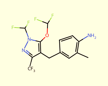 Cc1cc(Cc2c(C(F)(F)F)nn(C(F)F)c2OC(F)F)ccc1N